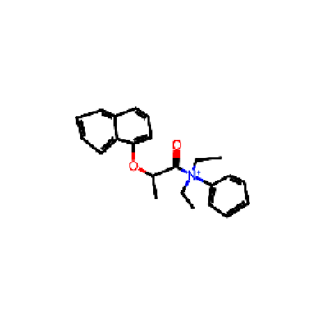 CC[N+](CC)(C(=O)C(C)Oc1cccc2ccccc12)c1ccccc1